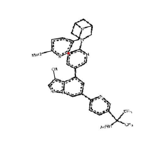 COc1ccc(CN2C3CC2CN(c2ccc(-c4cc(-c5ccc(C(C)(C)NC(C)=O)cn5)cn5ncc(C#N)c45)cn2)C3)cn1